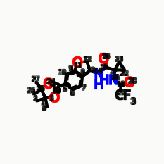 CC1(C)OB(c2ccc3c(c2)OCC3NC(=O)C2(NC(=O)C(F)(F)F)CC2)OC1(C)C